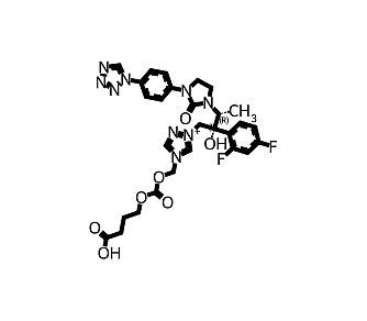 C[C@@H](N1CCN(c2ccc(-n3cnnn3)cc2)C1=O)[C@](O)(C[n+]1cn(COC(=O)OCCCC(=O)O)cn1)c1ccc(F)cc1F